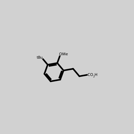 COc1c(CCC(=O)O)cccc1C(C)(C)C